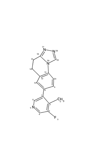 Cc1c(F)cncc1-c1ccc2c(c1)CCc1nncn1-2